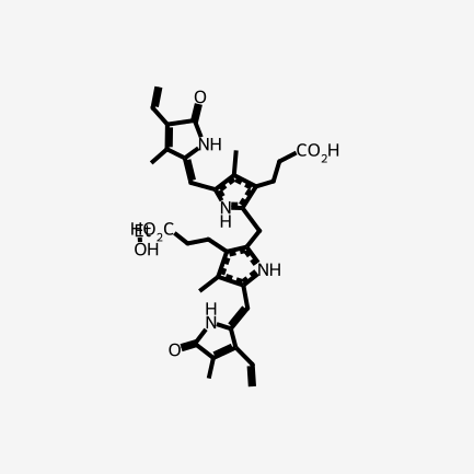 C=CC1=C(C)/C(=C/c2[nH]c(Cc3[nH]c(/C=C4\NC(=O)C(C)=C4C=C)c(C)c3CCC(=O)O)c(CCC(=O)O)c2C)NC1=O.CCO